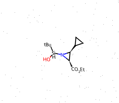 CCOC(=O)[C@@H]1[C@H](C2CC2)N1[SiH](O)C(C)(C)C